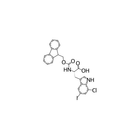 O=C(N[C@@H](Cc1c[nH]c2c(Cl)cc(I)cc12)C(=O)O)OCC1c2ccccc2-c2ccccc21